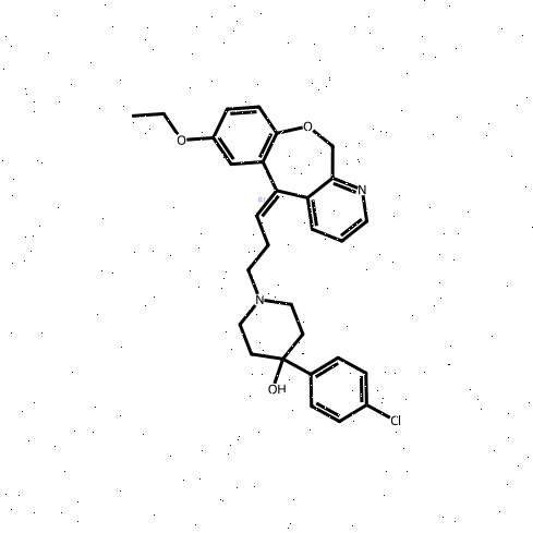 CCOc1ccc2c(c1)/C(=C/CCN1CCC(O)(c3ccc(Cl)cc3)CC1)c1cccnc1CO2